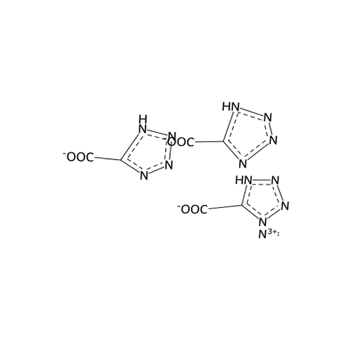 O=C([O-])c1nnn[nH]1.O=C([O-])c1nnn[nH]1.O=C([O-])c1nnn[nH]1.[N+3]